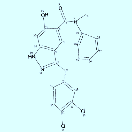 CN(C(=O)c1cc2c(Cc3ccc(Cl)c(Cl)c3)n[nH]c2cc1O)c1ccccc1